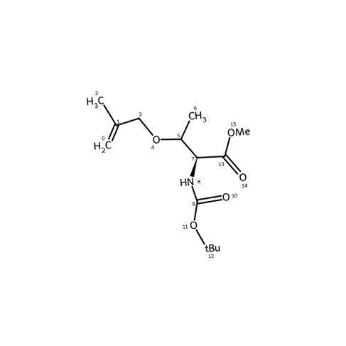 C=C(C)COC(C)[C@H](NC(=O)OC(C)(C)C)C(=O)OC